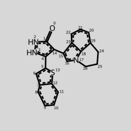 O=c1[nH][nH]c(-c2cc3ccccc3s2)c1-c1cn2c3c(cccc13)CCC2